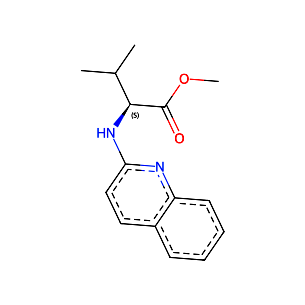 COC(=O)[C@@H](Nc1ccc2ccccc2n1)C(C)C